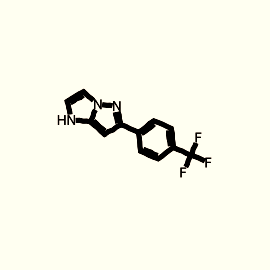 FC(F)(F)c1ccc(-c2cc3[nH]ccn3n2)cc1